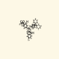 C1CCC(NC2CCCCC2)CC1.Cc1ccc(NC(=O)CN(Cc2ccc(SC(C)(C)C(=O)O)cc2)Cc2ccco2)c(C)c1